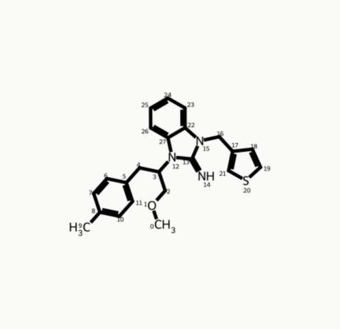 COCC(Cc1ccc(C)cc1)n1c(=N)n(Cc2ccsc2)c2ccccc21